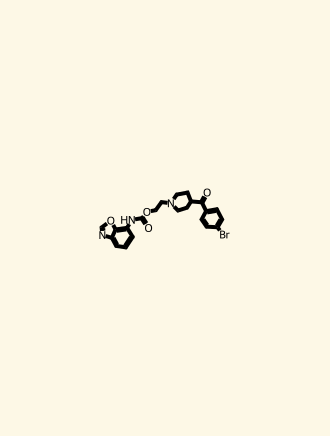 O=C(Nc1cccc2ncoc12)OCCN1CCC(C(=O)c2ccc(Br)cc2)CC1